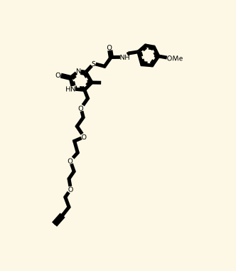 C#CCCOCCOCCOCCOCc1[nH]c(=O)nc(SCC(=O)NCc2ccc(OC)cc2)c1C